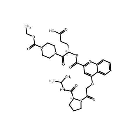 CCOC(=O)N1CCN(C(=O)[C@H](CCC(=O)O)NC(=O)c2cc(OCC(=O)N3CCC[C@H]3C(=O)NC(C)C)c3ccccc3n2)CC1